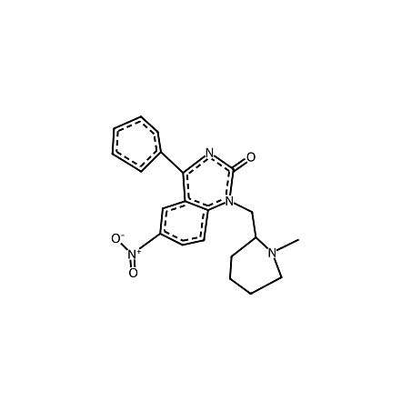 CN1CCCCC1Cn1c(=O)nc(-c2ccccc2)c2cc([N+](=O)[O-])ccc21